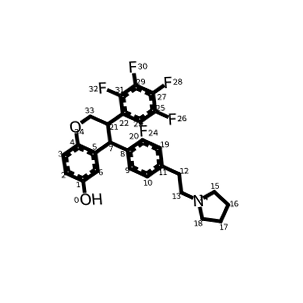 Oc1ccc2c(c1)C(c1ccc(CCN3CCCC3)cc1)C(c1c(F)c(F)c(F)c(F)c1F)CO2